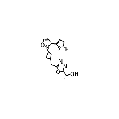 C[C@@H](O)c1nnc(CC2CC(N3OC=CC3c3ccc(F)s3)C2)o1